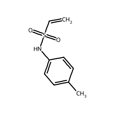 C=CS(=O)(=O)Nc1ccc(C)cc1